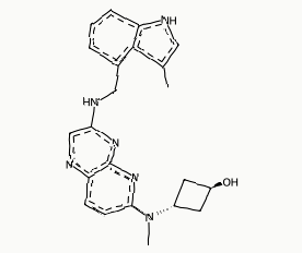 Cc1c[nH]c2cccc(CNc3cnc4ccc(N(C)[C@H]5C[C@H](O)C5)nc4n3)c12